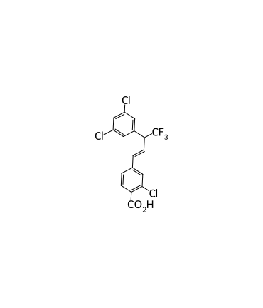 O=C(O)c1ccc(/C=C/C(c2cc(Cl)cc(Cl)c2)C(F)(F)F)cc1Cl